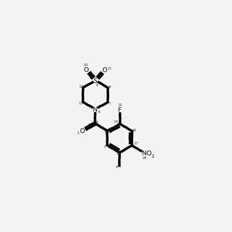 Cc1cc(C(=O)N2CCS(=O)(=O)CC2)c(F)cc1[N+](=O)[O-]